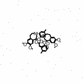 COc1cc2c(cc1OC)C(OC(=O)/C=C\C(=O)OC1(Oc3ccc(C)cc3)CNCCc3cc(OC)c(OC)cc31)(Oc1ccc(C)cc1)CNCC2